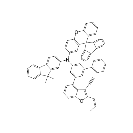 C#Cc1c(/C=C\C)oc2cccc(-c3cc(-c4ccccc4)cc(N(c4ccc5c(c4)C(C)(C)c4ccccc4-5)c4ccc5c(c4)C4(c6ccccc6O5)c5ccccc5-c5ccccc54)c3)c12